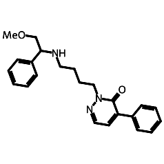 COCC(NCCCCn1nccc(-c2ccccc2)c1=O)c1ccccc1